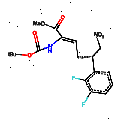 COC(=O)/C(=C/C[C@H](C[N+](=O)[O-])c1cccc(F)c1F)NC(=O)OC(C)(C)C